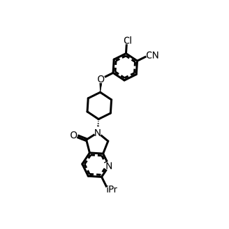 CC(C)c1ccc2c(n1)CN([C@H]1CC[C@H](Oc3ccc(C#N)c(Cl)c3)CC1)C2=O